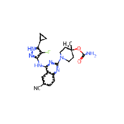 CC1(OC(N)=O)CCN(c2nc(Nc3n[nH]c(C4CC4)c3F)c3cc(C#N)ccc3n2)CC1